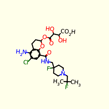 CC(C)(F)CN1CCC(F)(CNC(=O)c2cc(Cl)c(N)c3c2OC(OC(=O)C(O)C(O)C(=O)O)CC3)CC1